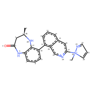 C[C@@H]1CC(=O)Nc2cccc(-c3cccc4cc([N+]5(C)C=CC=N5)ncc34)c2N1